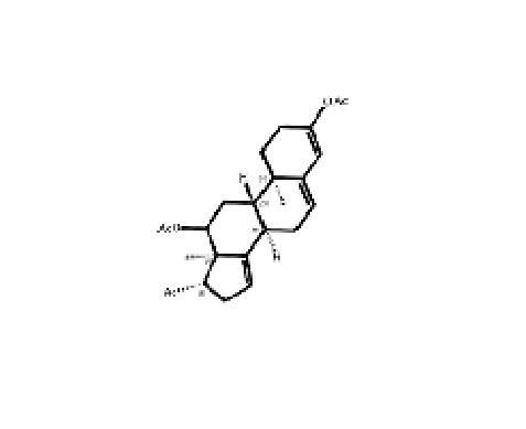 CC(=O)OC1=CC2=CC[C@H]3C4=CC[C@H](C(C)=O)[C@@]4(C)C(OC(C)=O)C[C@@H]3[C@@]2(C)CC1